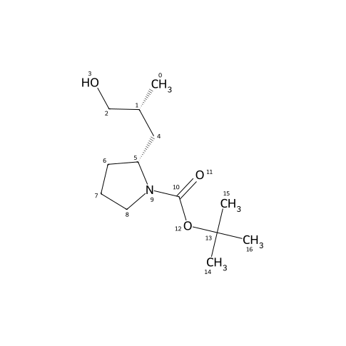 C[C@@H](CO)C[C@H]1CCCN1C(=O)OC(C)(C)C